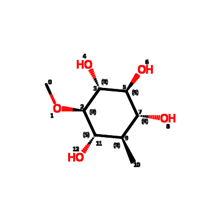 CO[C@H]1[C@H](O)[C@@H](O)[C@H](O)[C@@H](C)[C@@H]1O